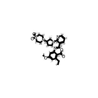 CCc1cc(OC)cc2nc(-c3cccnc3N3CCC(N4CCS(=O)(=O)CC4)C3)oc(=O)c12